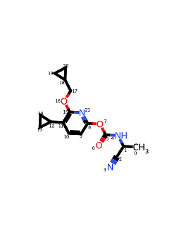 CC(C#N)NC(=O)Oc1ccc(C2CC2)c(OCC2CC2)n1